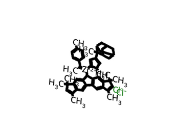 CC1=CC(C)(C)c2cc3c(cc21)-c1cc2c(cc1[CH]3/[Zr+2]([C]1=CC(C3(C)C4CC5CC(C4)CC3C5)=CC1C)=[C](\C)c1ccc(C)cc1)C(C)(C)C=C2C.[Cl-].[Cl-]